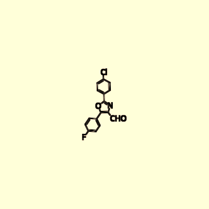 O=Cc1nc(-c2ccc(Cl)cc2)oc1-c1ccc(F)cc1